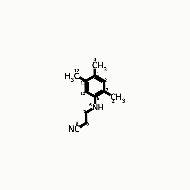 Cc1cc(C)c(NCCC#N)cc1C